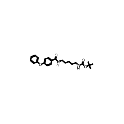 CC(C)(C)OC(=O)NCCCCCNC(=O)c1ccc(Oc2ccccc2)cc1